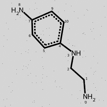 NCCNc1ccc(N)cc1